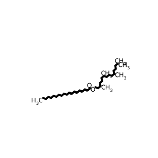 CCCCCCCCCCCC=CC=CC=CC=CC(=O)OCCC(C)CCCC(C)CCCC(C)CCCC(C)C